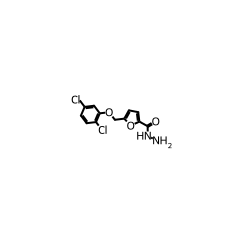 NNC(=O)c1ccc(COc2cc(Cl)ccc2Cl)o1